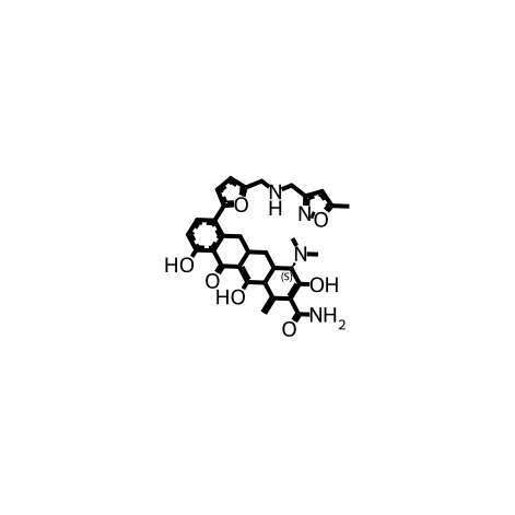 C=C1C(C(N)=O)=C(O)[C@@H](N(C)C)C2CC3Cc4c(-c5ccc(CNCc6cc(C)on6)o5)ccc(O)c4C(=O)C3=C(O)C12